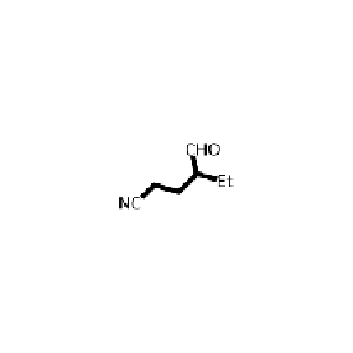 CCC(C=O)CCC#N